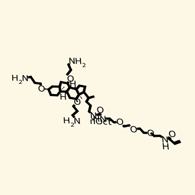 C=CC(=O)NCCOCCOCCOCCNC(=O)N(CCCCCCCC)CCCC(C)C1CC[C@H]2C3C(OCCCN)CC4C[C@H](OCCCN)CC[C@]4(C)[C@H]3C[C@H](OCCCN)[C@]12C